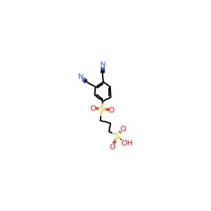 N#Cc1ccc(S(=O)(=O)CCCS(=O)(=O)O)cc1C#N